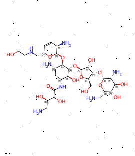 NC[C@@H](O)C(O)C(=O)N[C@@H]1C[C@H](N)[C@@H](O[C@H]2O[C@H](CNCCO)C=C[C@H]2N)[C@H](O[C@@H]2O[C@H](CO)[C@@H](O[C@H]3O[C@@H](CN)[C@@H](O)[C@H](O)[C@H]3N)[C@H]2O)[C@H]1O